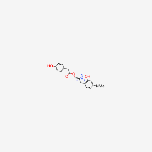 CNc1ccc(C/C(N)=C/OC(=O)Cc2ccc(O)cc2)c(O)c1